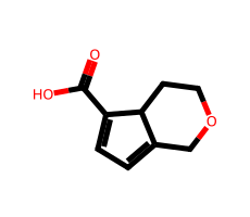 O=C(O)C1=CC=C2COCCC21